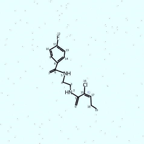 C=C(NCCNC(=C)c1ccc(F)cc1)/C(Cl)=C\CC